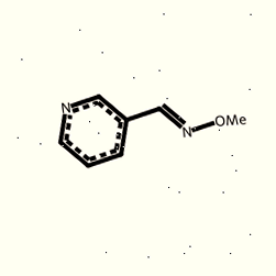 CO/N=C/c1cccnc1